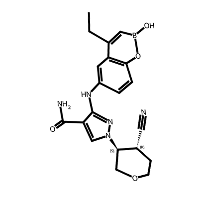 CCC1=CB(O)Oc2ccc(Nc3nn([C@@H]4COCC[C@H]4C#N)cc3C(N)=O)cc21